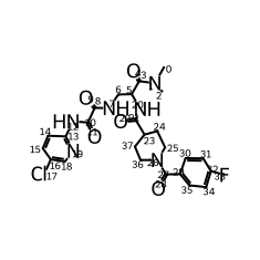 CN(C)C(=O)C(CNC(=O)C(=O)Nc1ccc(Cl)cn1)NC(=O)C1CCN(C(=O)c2ccc(F)cc2)CC1